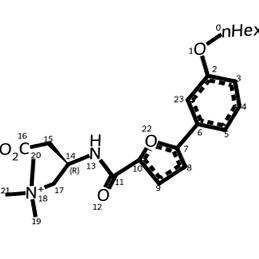 CCCCCCOc1cccc(-c2ccc(C(=O)N[C@H](CC(=O)O)C[N+](C)(C)C)o2)c1